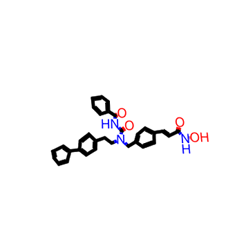 O=C(/C=C/c1ccc(CN(CCc2ccc(-c3ccccc3)cc2)C(=O)NC(=O)c2ccccc2)cc1)NO